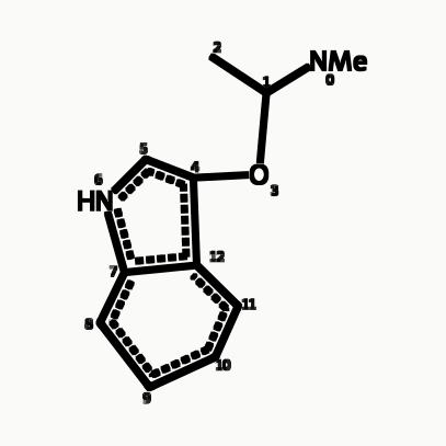 CNC(C)Oc1c[nH]c2ccccc12